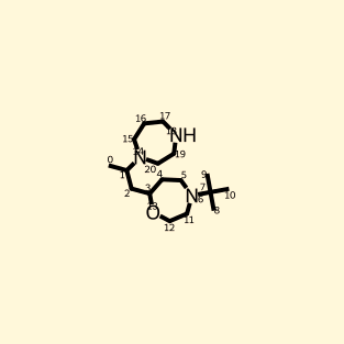 CC(CC1CCN(C(C)(C)C)CCO1)N1CCCNCC1